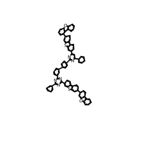 c1ccc(-c2cc(-c3ccc4c(c3)sc3cc(-c5cccc6oc7ccccc7c56)ccc34)nc(-c3ccc(-c4cccc(-c5nc(-c6ccccc6)nc(-c6ccc7c(c6)sc6cc(-c8ccc9c(c8)oc8ccccc89)ccc67)n5)c4)cc3)n2)cc1